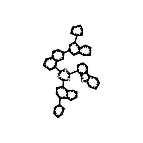 c1ccc(-c2cc(-c3ccc4cccc(-c5nc(-c6ccc(-c7ccccc7)c7ccccc67)nc(-c6cccc7c6oc6ccccc67)n5)c4c3)cc3ccccc23)cc1